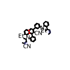 C/C=C\C(C)C1=C(N(CC)c2cccc(-c3cccc(-c4ccccc4N(c4ccccc4CC)C(C)/C=C(\C)C#N)c3C#N)c2)CCC=C1